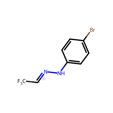 FC(F)(F)/[C]=N/Nc1ccc(Br)cc1